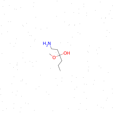 CCCC(O)(CCN)OC